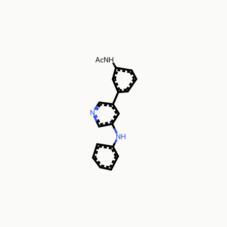 CC(=O)Nc1cccc(-c2cncc(Nc3ccccc3)c2)c1